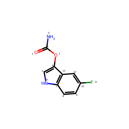 NC(=O)Oc1c[nH]c2ccc(F)cc12